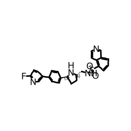 O=S(=O)(NC[C@@H]1CC[C@@H](c2ccc(-c3ccc(F)nc3)cc2)N1)c1cccc2cnccc12